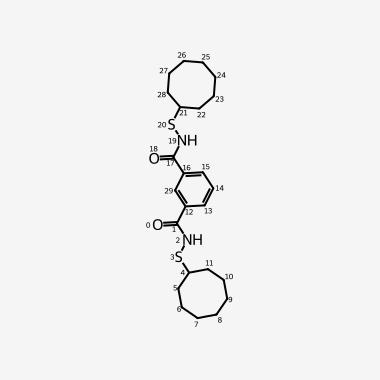 O=C(NSC1CCCCCCC1)c1cccc(C(=O)NSC2CCCCCCC2)c1